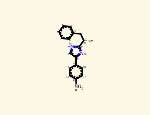 C[C@@H](Cc1ccccc1)c1nc(-c2ccc([N+](=O)[O-])cc2)c[nH]1